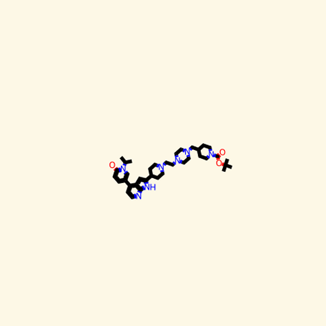 CC(C)n1cc(-c2ccnc3[nH]c(C4CCN(CCN5CCN(CC6CCN(C(=O)OC(C)(C)C)CC6)CC5)CC4)cc23)ccc1=O